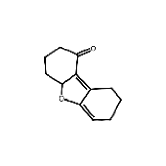 O=C1CCCC2OC3=CCCCC3=C12